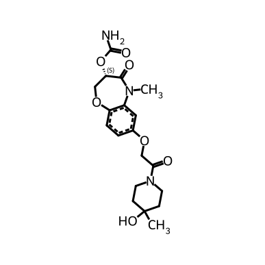 CN1C(=O)[C@@H](OC(N)=O)COc2ccc(OCC(=O)N3CCC(C)(O)CC3)cc21